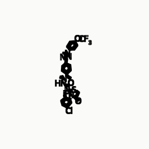 CC(C)c1ccc(Cl)cc1N1C(=O)CS/C1=N\C(=O)NN(C)C(C)c1ccc(-c2ncn(-c3ccc(OC(F)(F)F)cc3)n2)cc1